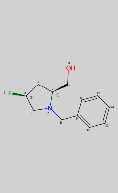 OC[C@@H]1C[C@H](F)CN1Cc1ccccc1